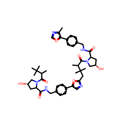 Cc1ncoc1-c1ccc(CNC(=O)C2C[C@@H](O)CN2C(=O)C(C)C(C)(C)Cc2ncc(-c3ccc(CNC(=O)C4C[C@@H](O)CN4C(=O)C(C)C(C)(C)C)cc3)o2)cc1